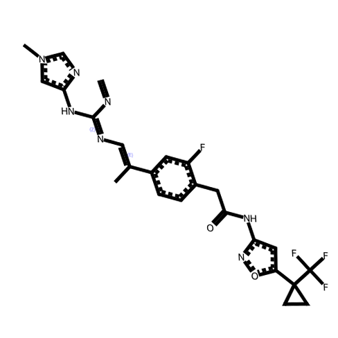 C=N/C(=N\C=C(/C)c1ccc(CC(=O)Nc2cc(C3(C(F)(F)F)CC3)on2)c(F)c1)Nc1cn(C)cn1